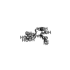 C[C@@H]1C/C=C/[C@H](NC(=O)CS[C@@H]2OC(CO)[C@@H](O)C(O)C2O)C/C=C/C(=N/OCC(=O)N2CCCCC2)Cc2cc(O)cc(O)c2C(=O)O1